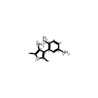 Cc1oc(C)c(-c2cc(N)ccc2N)c1N